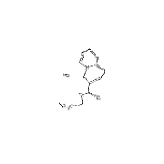 CCOC(=O)C1=CC=C2C=CC=CN2C1.Cl